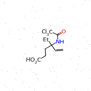 C=CC(CC)(CCC(=O)O)NC(=O)C(Cl)(Cl)Cl